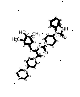 Cc1cc(CC(NC(=O)N2CCC(n3c(=O)[nH]c4ccccc43)CC2)C(=O)N2CCC(N3CCCCC3)CC2)cc(C)c1O